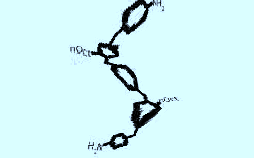 CCCCCCCCc1cc(Cc2ccc(N)cc2)ccc1Cc1ccc(Cc2ccc(Cc3ccc(N)cc3)cc2CCCCCCCC)cc1